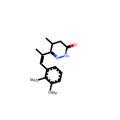 COc1cccc(C=C(C)C2=NNC(=O)CC2C)c1SC